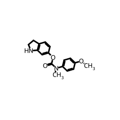 COc1ccc(N(C)C(=O)Oc2ccc3c(c2)NCC3)cc1